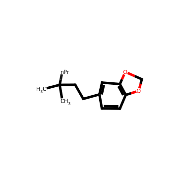 CCCC(C)(C)CCc1ccc2c(c1)OCO2